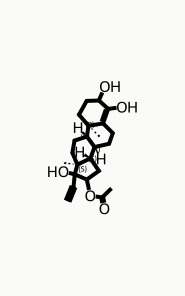 C#CC1(O)C(OC(C)=O)C[C@H]2[C@@H]3CCC4=C(O)C(O)CC[C@]4(C)[C@@H]3CC[C@@]21C